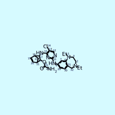 CCN1CCN(CC)c2cc(Nc3ncc(Cl)c(NC4C5C=CC(C5)C4OC(N)=O)n3)ccc2C1